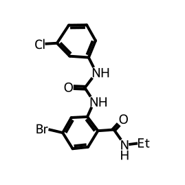 CCNC(=O)c1ccc(Br)cc1NC(=O)Nc1cccc(Cl)c1